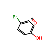 C=O.Oc1ccc(Br)cc1